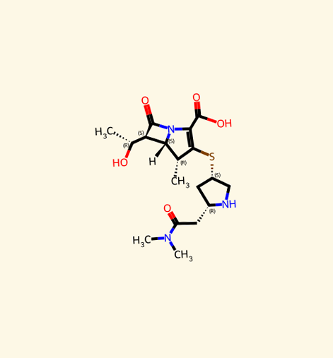 C[C@@H](O)[C@H]1C(=O)N2C(C(=O)O)=C(S[C@@H]3CN[C@H](CC(=O)N(C)C)C3)[C@H](C)[C@H]12